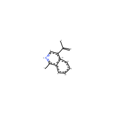 C=C(C)c1cnc(C)c2ccccc12